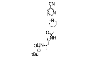 CC(CONC(=O)CC1CCN(c2ncc(C#N)cn2)CC1)NC(=O)OC(C)(C)C